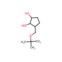 CC(C)(C)OCC1CCC(O)C1O